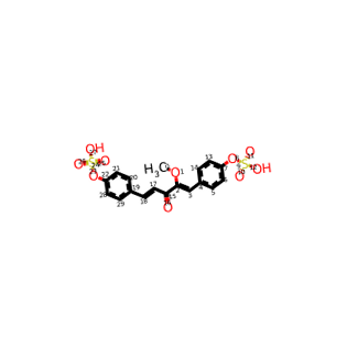 COC(=Cc1ccc(OS(=O)(=O)O)cc1)C(=O)C=Cc1ccc(OS(=O)(=O)O)cc1